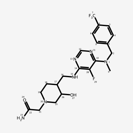 CN(Cc1ccc(C(F)(F)F)cc1)c1ncnc(NCC2CCN(CC(N)=O)CC2O)c1F